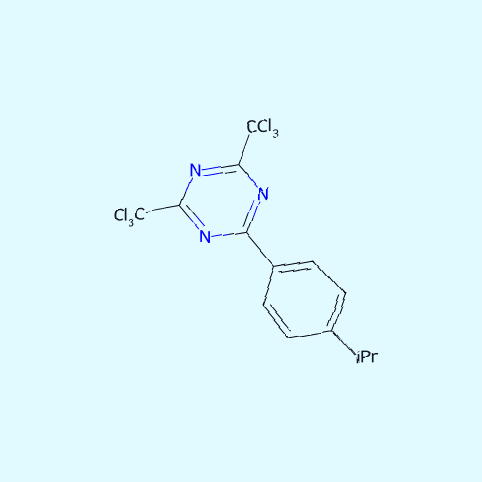 CC(C)c1ccc(-c2nc(C(Cl)(Cl)Cl)nc(C(Cl)(Cl)Cl)n2)cc1